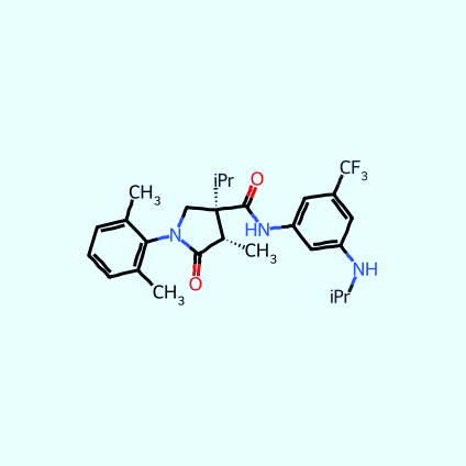 Cc1cccc(C)c1N1C[C@](C(=O)Nc2cc(NC(C)C)cc(C(F)(F)F)c2)(C(C)C)[C@H](C)C1=O